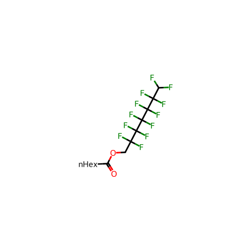 CCCCCCC(=O)OCC(F)(F)C(F)(F)C(F)(F)C(F)(F)C(F)(F)C(F)F